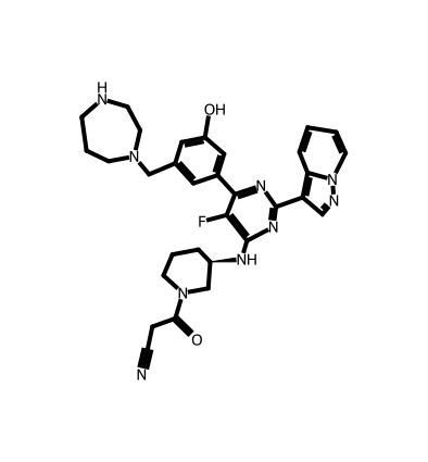 N#CCC(=O)N1CCC[C@@H](Nc2nc(-c3cnn4ccccc34)nc(-c3cc(O)cc(CN4CCCNCC4)c3)c2F)C1